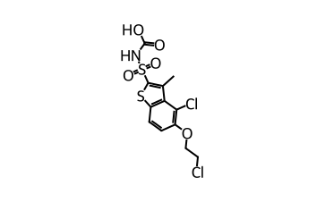 Cc1c(S(=O)(=O)NC(=O)O)sc2ccc(OCCCl)c(Cl)c12